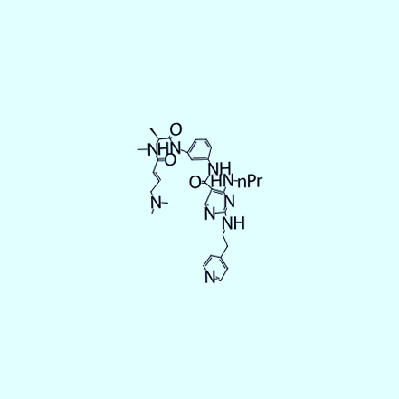 CCCNc1nc(NCCc2ccncc2)ncc1C(=O)Nc1cccc(NC(=O)[C@H](C)N(C)C(=O)C=CCN(C)C)c1